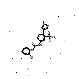 Cn1cc(-c2ncc(NC(=O)Cc3ccccc3Cl)cc2S(N)(=O)=O)cn1